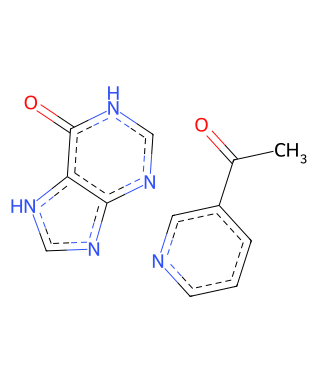 CC(=O)c1cccnc1.O=c1[nH]cnc2nc[nH]c12